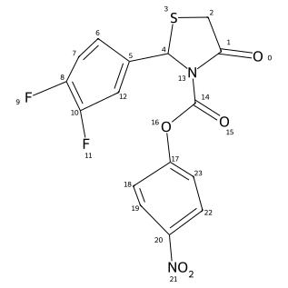 O=C1CSC(c2ccc(F)c(F)c2)N1C(=O)Oc1ccc([N+](=O)[O-])cc1